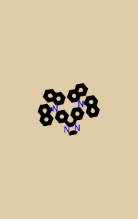 c1ccc2c(N(c3ccc(-c4nccnc4-c4ccc(N(c5cccc6ccccc56)c5cccc6ccccc56)cc4)cc3)c3cccc4ccccc34)cccc2c1